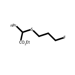 CCCC(SCCCF)C(=O)OCC